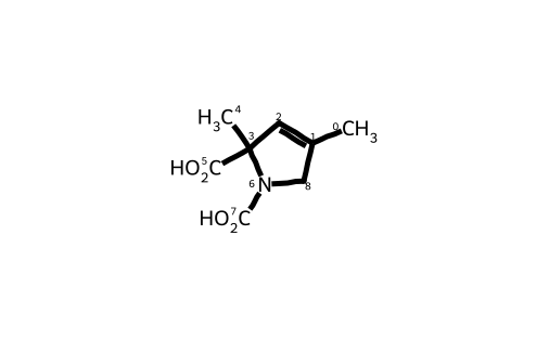 CC1=CC(C)(C(=O)O)N(C(=O)O)C1